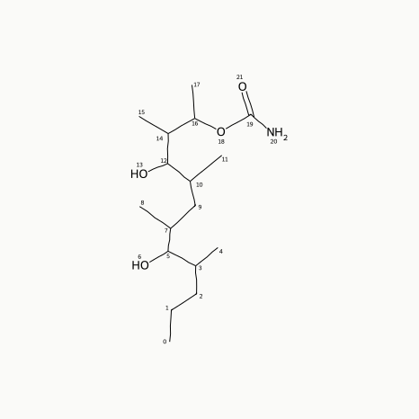 CCCC(C)C(O)C(C)CC(C)C(O)C(C)C(C)OC(N)=O